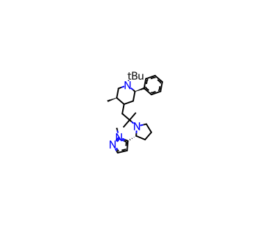 C[C@H]1CN(C(C)(C)C)[C@@H](c2ccccc2)CC1CC(C)(C)N1CCC[C@@H]1c1ccnn1C